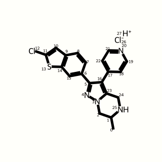 CC1Cn2nc(-c3ccc4cc(Cl)sc4c3)c(-c3ccncc3)c2CN1.[Cl-].[H+]